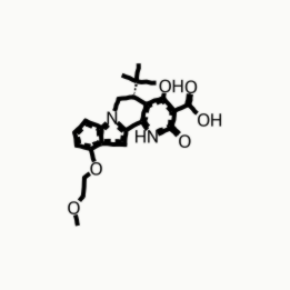 COCCOc1cccc2c1cc1n2C[C@H](C(C)(C)C)c2c-1[nH]c(=O)c(C(=O)O)c2O